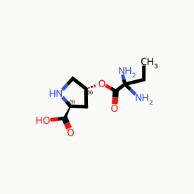 CCC(N)(N)C(=O)O[C@H]1CN[C@H](C(=O)O)C1